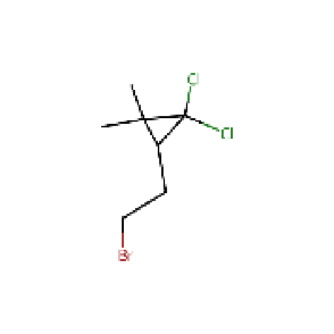 CC1(C)C(CCBr)C1(Cl)Cl